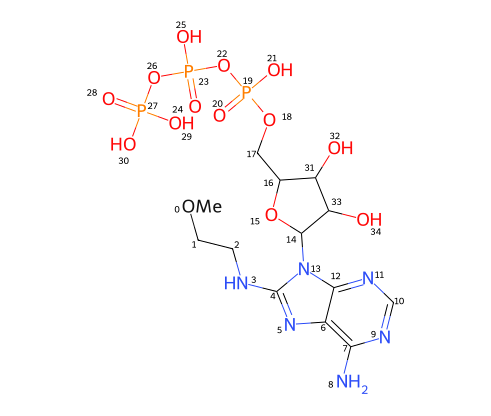 COCCNc1nc2c(N)ncnc2n1C1OC(COP(=O)(O)OP(=O)(O)OP(=O)(O)O)C(O)C1O